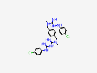 CN(Cc1ccc(CN(C)C(=N)NC(=N)Nc2ccc(Cl)cc2)cc1)C(=N)NNc1ccc(Cl)cc1